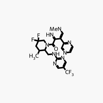 CN/C=C(\C(=N)C(=O)N1CC(F)(F)CC(C)C1CNc1ncc(C(F)(F)F)cn1)c1cnccn1